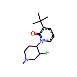 CN1CCC(n2cccc(C(C)(C)C)c2=O)C(F)C1